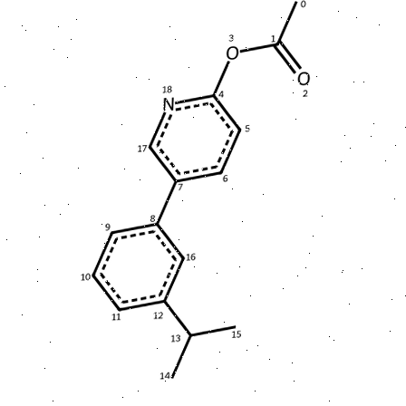 CC(=O)Oc1ccc(-c2cccc(C(C)C)c2)cn1